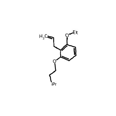 C=CCc1c(OCC)cccc1OCCC(C)C